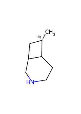 C[C@H]1CC2CNCCC21